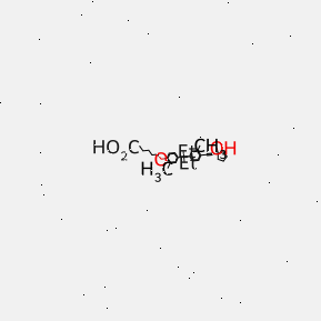 CCC(CC)(c1ccc(C#CC2(O)CCCC2)c(C)c1)c1ccc(OCCCCCC(=O)O)c(C)c1